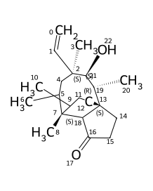 C=C[C@]1(C)CC(C)[C@]2(C)C(C)CC[C@]3(CCC(=O)C23)[C@@H](C)[C@@H]1O